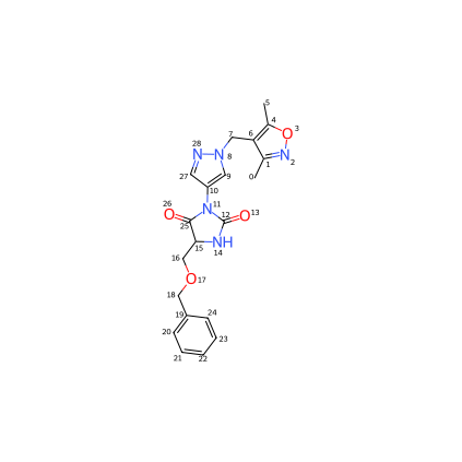 Cc1noc(C)c1Cn1cc(N2C(=O)NC(COCc3ccccc3)C2=O)cn1